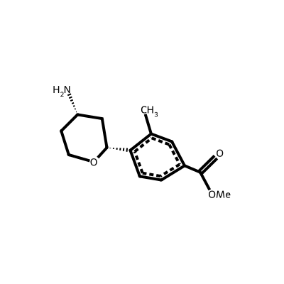 COC(=O)c1ccc([C@H]2C[C@@H](N)CCO2)c(C)c1